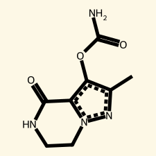 Cc1nn2c(c1OC(N)=O)C(=O)NCC2